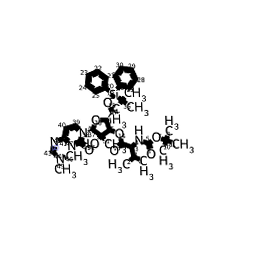 CC(C)C(NC(=O)OC(C)(C)C)C(=O)OC1[C@@H](CO[Si](c2ccccc2)(c2ccccc2)C(C)(C)C)O[C@@H](n2ccc(/N=C\N(C)C)nc2=O)C1(C)O